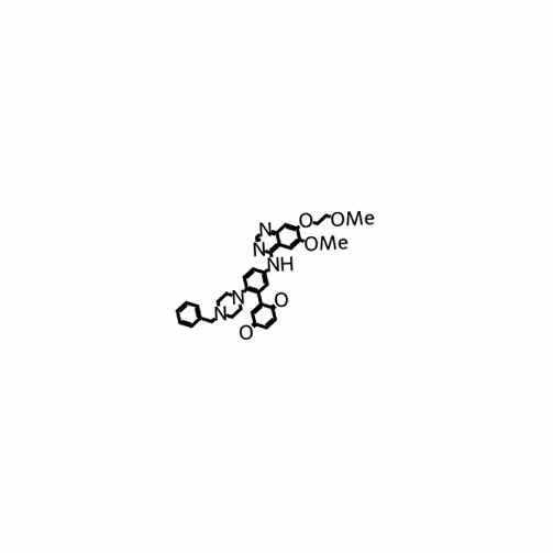 COCCOc1cc2ncnc(Nc3ccc(N4CCN(Cc5ccccc5)CC4)c(C4=CC(=O)C=CC4=O)c3)c2cc1OC